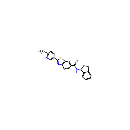 Cc1ccc(-c2nc3ccc(C(=O)N[C@H]4CCc5ccccc54)cc3s2)cn1